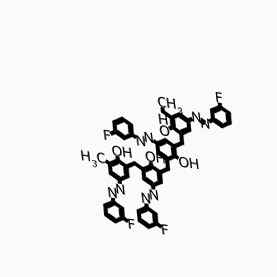 CCc1cc(N=Nc2cccc(F)c2)cc(Cc2cc(N=Nc3cccc(F)c3)cc(Cc3cc(N=Nc4cccc(F)c4)cc(Cc4cc(N=Nc5cccc(F)c5)cc(C)c4O)c3O)c2O)c1O